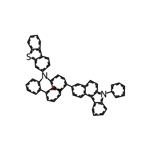 c1ccc(-c2ccccc2N(c2ccc(-c3ccc4c(ccc5c4c4ccccc4n5-c4ccccc4)c3)cc2)c2ccc3c(c2)sc2ccccc23)cc1